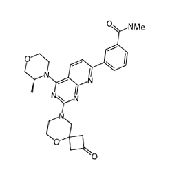 CNC(=O)c1cccc(-c2ccc3c(N4CCOC[C@@H]4C)nc(N4CCOC5(CC(=O)C5)C4)nc3n2)c1